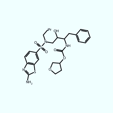 CC(C)CN(CC(O)C(Cc1ccccc1)NC(=O)OC1CCOC1)S(=O)(=O)c1ccc2nc(N)sc2c1